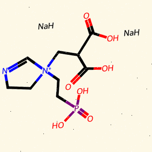 O=C(O)C(C[N+]1(CCP(=O)(O)O)C=NCC1)C(=O)O.[NaH].[NaH]